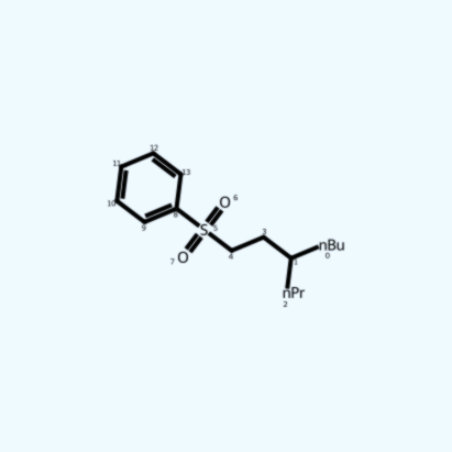 CCCCC(CCC)CCS(=O)(=O)c1cc[c]cc1